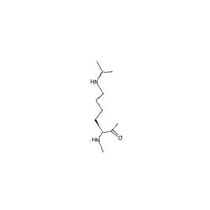 CN[C@@H](CCCCNC(C)C)C(C)=O